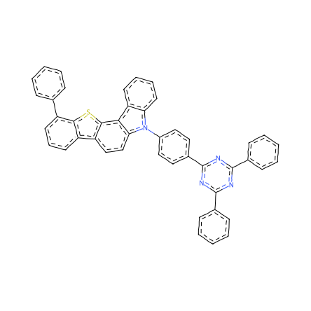 c1ccc(-c2nc(-c3ccccc3)nc(-c3ccc(-n4c5ccccc5c5c6sc7c(-c8ccccc8)cccc7c6ccc54)cc3)n2)cc1